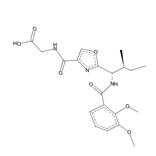 CC[C@H](C)[C@H](NC(=O)c1cccc(OC)c1OC)c1nc(C(=O)NCC(=O)O)co1